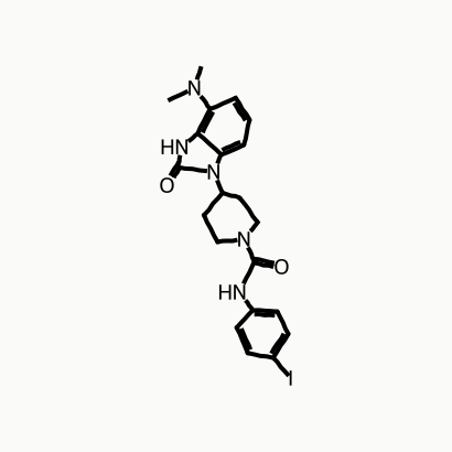 CN(C)c1cccc2c1[nH]c(=O)n2C1CCN(C(=O)Nc2ccc(I)cc2)CC1